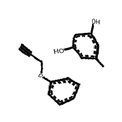 C#CCOc1ccccc1.Cc1cc(O)cc(O)c1